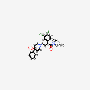 CON(C)C(=O)C(CCN1CCC(O)(c2ccccc2)CC1)c1ccc(Cl)c(Cl)c1